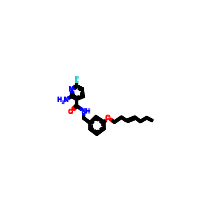 CCC/C=C/CCOc1cccc(CNC(=O)c2ccc(F)nc2N)c1